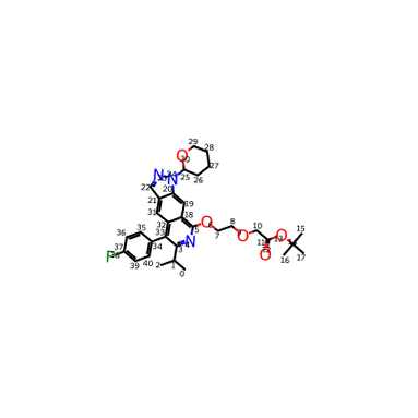 CC(C)c1nc(OCCOCC(=O)OC(C)(C)C)c2cc3c(cnn3C3CCCCO3)cc2c1-c1ccc(F)cc1